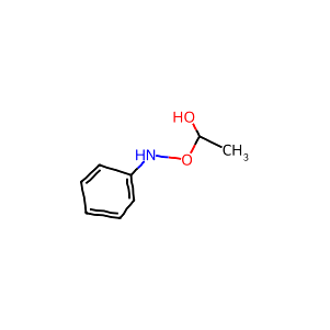 CC(O)ONc1ccccc1